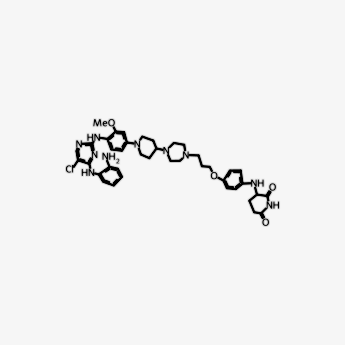 COc1cc(N2CCC(N3CCN(CCCOc4ccc(NC5CCC(=O)NC5=O)cc4)CC3)CC2)ccc1Nc1ncc(Cl)c(Nc2ccccc2N)n1